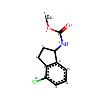 CC(C)(C)OC(=O)NC1CCc2c(Cl)cccc21